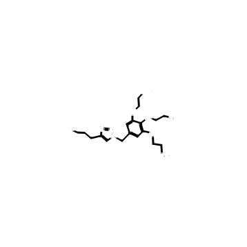 CCCCCCCCCCCCOc1cc(Cn2cc(CCCN)nn2)cc(OCCCCCCCCCCCC)c1OCCCCCCCCCCCC